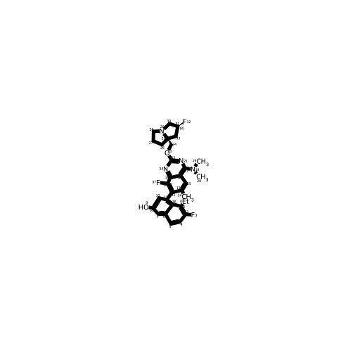 CCc1c(F)ccc2cc(O)cc(-c3c(C)cc4c(N(C)C)nc(OC[C@@]56CCCN5C[C@H](F)C6)nc4c3F)c12